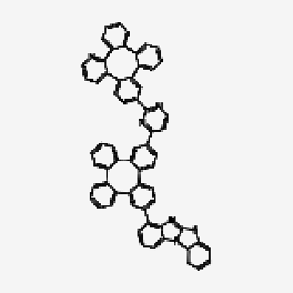 c1ccc2c(c1)-c1ccccc1-c1cc(-c3cccc4c3nc3sc5ccccc5n34)ccc1-c1ccc(-c3ccnc(-c4ccc5c(c4)-c4ccccc4-c4ccccc4-c4ncccc4-5)n3)cc1-2